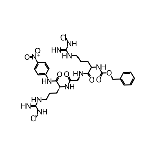 N=C(NCl)NCCCC(NC(=O)OCc1ccccc1)C(=O)NCC(=O)N[C@@H](CCCNC(=N)NCl)C(=O)Nc1ccc([N+](=O)[O-])cc1